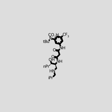 CCC[C@H](O)[C@H](CNCC(C)C)NC(=O)CC(=O)Nc1cc(N(C(=O)O)C(C)(C)C)cc(C(F)(F)F)c1